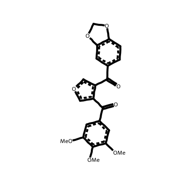 COc1cc(C(=O)c2cocc2C(=O)c2ccc3c(c2)OCO3)cc(OC)c1OC